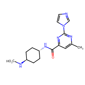 Cc1cc(C(=O)N[C@H]2CC[C@H](NC(=O)O)CC2)nc(-n2ccnc2)n1